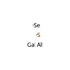 [Al].[Ga].[S].[Se]